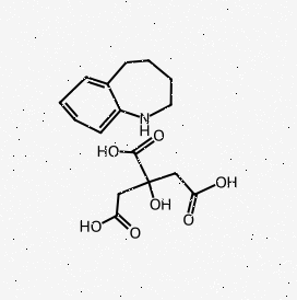 O=C(O)CC(O)(CC(=O)O)C(=O)O.c1ccc2c(c1)CCCCN2